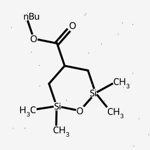 CCCCOC(=O)C1C[Si](C)(C)O[Si](C)(C)C1